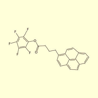 O=C(CCCc1ccc2ccc3cccc4ccc1c2c34)Oc1c(F)c(F)c(F)c(F)c1F